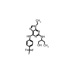 CCC(CO)Nc1nc(Nc2ccc(C(F)(F)F)cc2)c2ncn(CC)c2n1